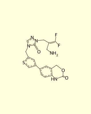 NCC(Cn1ncn(Cc2cc(-c3ccc4c(c3)COC(=O)N4)cs2)c1=O)=C(F)F